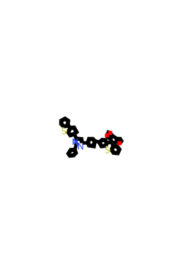 c1ccc(-c2nc(-c3ccc(-c4ccc5c(c4)Sc4ccccc4C54c5ccccc5-c5ccccc54)cc3)cc(-c3ccc4c(c3)sc3ccccc34)n2)cc1